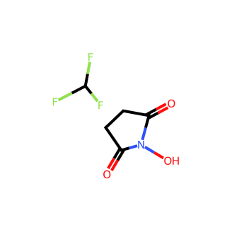 FC(F)F.O=C1CCC(=O)N1O